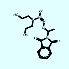 CC(O/N=[N+](/[O-])N(CCO)CCO)N1C(=O)c2ccccc2C1=O